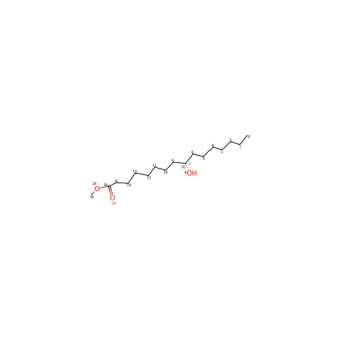 CCCCCCC[C@H](O)CCCCCCCC(=O)OC